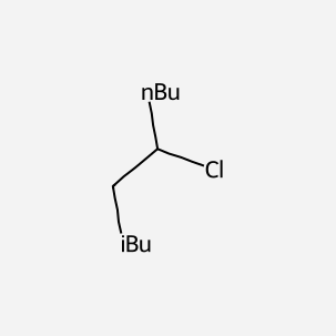 CCCCC(Cl)CC(C)CC